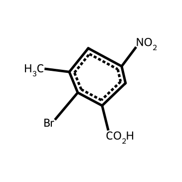 Cc1cc([N+](=O)[O-])cc(C(=O)O)c1Br